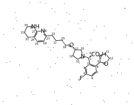 O=C(O)[C@@H](c1cc(F)ccc1C1CCCO1)N1CC[C@@H](OCCCCc2ccc3c(n2)NCCC3)C1